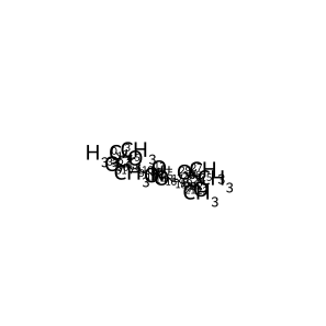 CC1=C(C)C(=O)C(CCCCO[N+](=O)OCCCCC2=C(C)C(=O)C(C)=C(C)C2=O)=C(C)C1=O